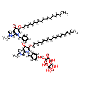 CCCCCCCCCCCCCCCCCCOc1cn(Cc2ccccc2)c(CN(C)C)cc1=O.CCCCCCCCCCCCCCCCCCOc1cn(Cc2ccccc2)c(CN(C)C)cc1=O.O.O=C(O)C(=O)O.O=C(O)C(=O)O